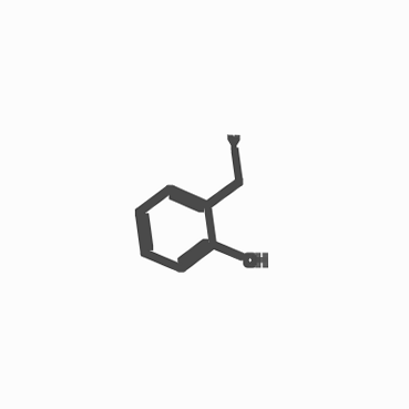 Oc1ccccc1[CH2][Y]